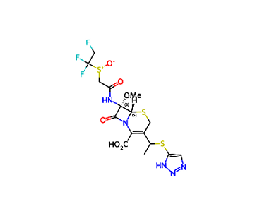 CO[C@@]1(NC(=O)C[S+]([O-])C(F)(F)CF)C(=O)N2C(C(=O)O)=C(C(C)Sc3cnn[nH]3)CS[C@H]21